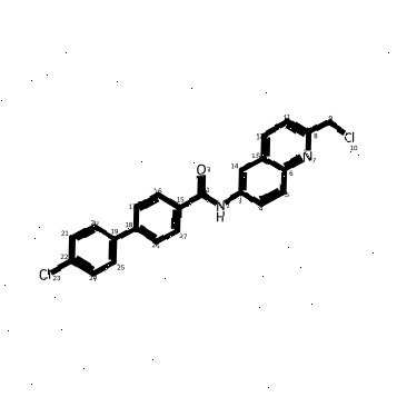 O=C(Nc1ccc2nc(CCl)ccc2c1)c1ccc(-c2ccc(Cl)cc2)cc1